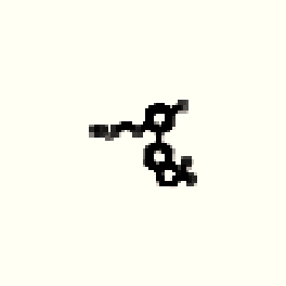 O=C(O)COc1ccc(Cl)cc1-c1ccc2c(c1)S(=O)(=O)CC2